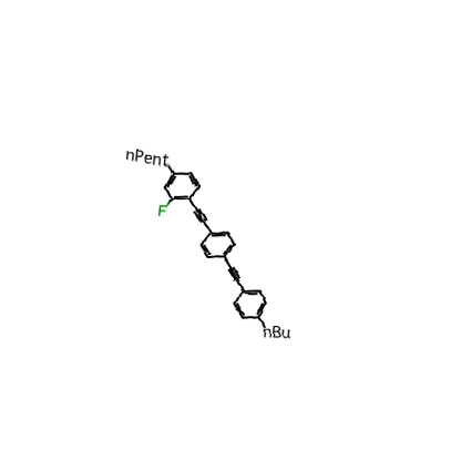 CCCCCc1ccc(C#Cc2ccc(C#Cc3ccc(CCCC)cc3)cc2)c(F)c1